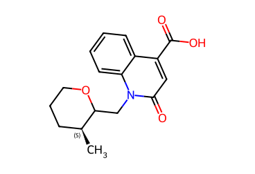 C[C@H]1CCCOC1Cn1c(=O)cc(C(=O)O)c2ccccc21